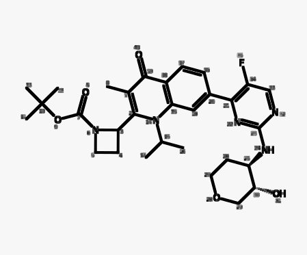 Cc1c(C2CCN2C(=O)OC(C)(C)C)n(C(C)C)c2cc(-c3nc(N[C@@H]4CCOC[C@H]4O)ncc3F)ccc2c1=O